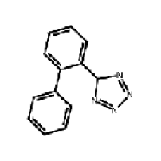 [c]1ccc(C2N=NN=N2)c(-c2ccccc2)c1